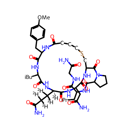 [2H]C([2H])(C(N)=O)C([2H])([2H])[C@@]1([2H])NC(=O)C(C(C)CC)NC(=O)C(Cc2ccc(OC)cc2)NC(=O)CCCSCC(C(=O)N2CCCC2C(=O)NC(CC(C)C)C(=O)NCC(N)=O)NC(=O)C(CC(N)=O)NC1=O